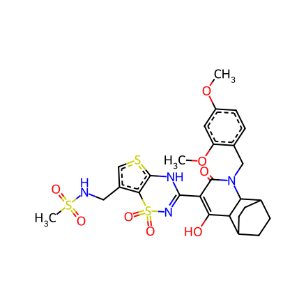 COc1ccc(CN2C(=O)C(C3=NS(=O)(=O)c4c(CNS(C)(=O)=O)csc4N3)=C(O)C3C4CCC(CC4)C32)c(OC)c1